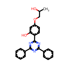 CC(O)COc1ccc(-c2nc(-c3ccccc3)nc(-c3ccccc3)n2)c(O)c1